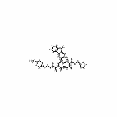 CN1CCN(CCCNC(=O)c2cn3c4cc5c(cc4oc4c(NCCN6CCCC6)c(F)cc(c2=O)c43)c(=O)c2ccccc25)CC1